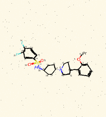 CC(C)Oc1ccccc1C1CCN([C@H]2CC[C@H](NS(=O)(=O)c3ccc(F)c(F)c3)CC2)CC1